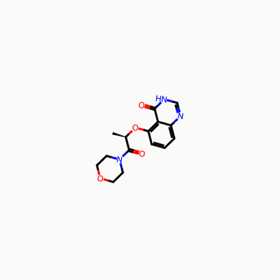 C[C@@H](Oc1cccc2nc[nH]c(=O)c12)C(=O)N1CCOCC1